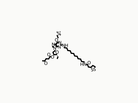 CC[C@H]1O[C@@H](n2cnc3c(OCC[Si](C)(C)C)nc(NCCCCCCCCCCCCNC(=O)CC4CCSS4)nc32)C[C@H]1OC(=O)CCC(C)=O